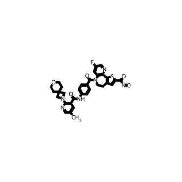 Cc1cnc(N2CC3(CCOCC3)C2)c(C(=O)Nc2ccc(C(=O)N3CCc4cc(C(=O)N=O)sc4-c4ncc(F)cc43)cc2)c1